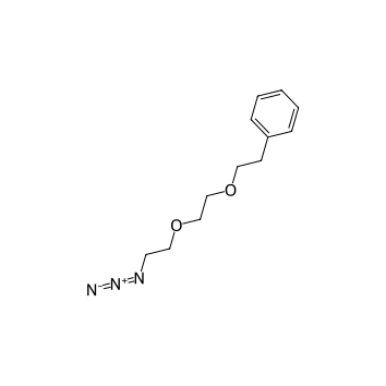 [N-]=[N+]=NCCOCCOCCc1ccccc1